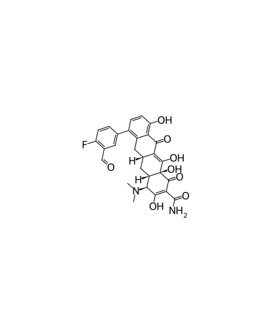 CN(C)[C@@H]1C(O)=C(C(N)=O)C(=O)[C@@]2(O)C(O)=C3C(=O)c4c(O)ccc(-c5ccc(F)c(C=O)c5)c4C[C@H]3C[C@@H]12